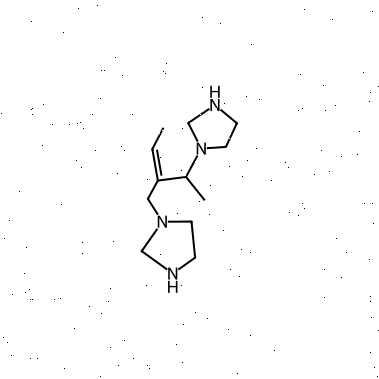 CC=C(CN1CCNC1)C(C)N1CCNC1